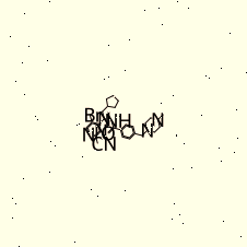 CN1CCN(Cc2ccc(C(=O)NN(CC3CCCC3)c3nc(C#N)ncc3Br)cc2)CC1